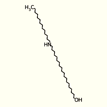 CCCCCCCCCCCCCCNCCCCCCCCCCCCCCCCCCCCO